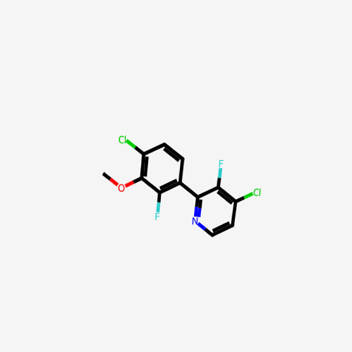 COc1c(Cl)ccc(-c2nccc(Cl)c2F)c1F